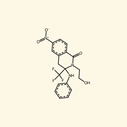 O=C1c2ccc([N+](=O)[O-])cc2CC(Nc2ccccc2)(C(F)(F)F)N1CCO